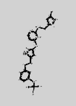 Cc1cc(CNc2nccc(Nc3cc(CCc4cccc(OC(F)(F)F)c4)[nH]n3)n2)on1